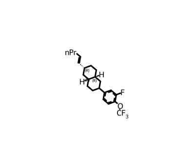 CCCC=C[C@@H]1CC[C@@H]2CC(c3ccc(OC(F)(F)F)c(F)c3)CC[C@@H]2C1